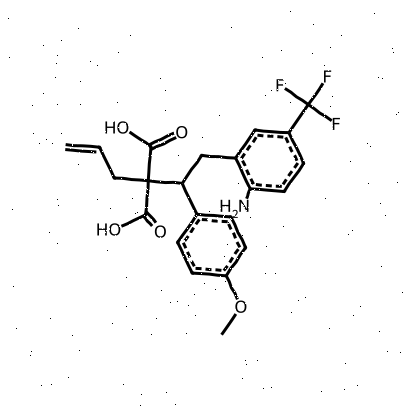 C=CCC(C(=O)O)(C(=O)O)C(Cc1cc(C(F)(F)F)ccc1N)c1ccc(OC)cc1